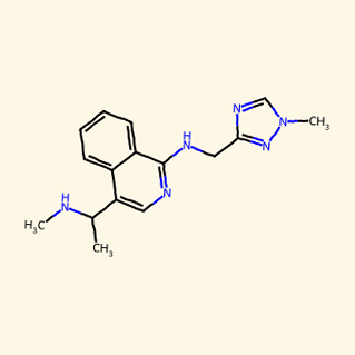 CNC(C)c1cnc(NCc2ncn(C)n2)c2ccccc12